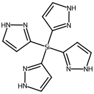 c1cc([Si](c2cc[nH]n2)(c2cc[nH]n2)c2cc[nH]n2)n[nH]1